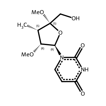 CO[C@H]1[C@H](n2ccc(=O)[nH]c2=O)O[C@@](CO)(OC)[C@H]1C